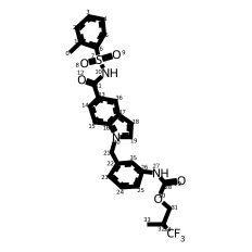 Cc1ccccc1S(=O)(=O)NC(=O)c1ccc2c(ccn2Cc2cccc(NC(=O)OCC(C)C(F)(F)F)c2)c1